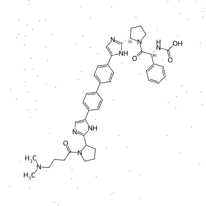 CN(C)CCCC(=O)N1CCCC1c1ncc(-c2ccc(-c3ccc(-c4cnc([C@@H]5CCCN5C(=O)[C@H](NC(=O)O)c5ccccc5)[nH]4)cc3)cc2)[nH]1